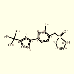 CCOP(=O)(Cc1ccc(-c2noc(C(F)(F)Cl)n2)cc1F)NC(C)C